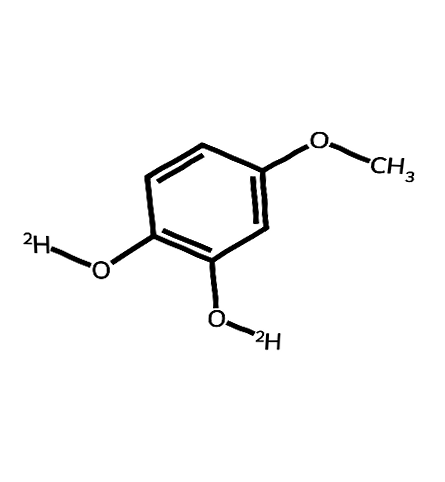 [2H]Oc1ccc(OC)cc1O[2H]